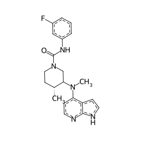 C[C@@H]1CCN(C(=O)Nc2cccc(F)c2)CC1N(C)c1ccnc2[nH]ccc12